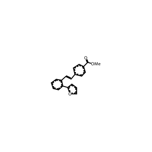 COC(=O)c1ccc(/C=C/c2ccccc2-c2ccco2)cc1